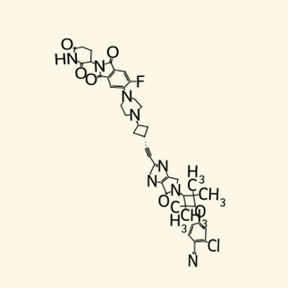 CC1(C)[C@H](Oc2ccc(C#N)c(Cl)c2)C(C)(C)[C@H]1N1Cc2nc(C#C[C@H]3C[C@H](N4CCN(c5cc6c(cc5F)C(=O)N(C5CCC(=O)NC5=O)C6=O)CC4)C3)cnc2C1=O